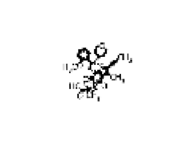 CC#Cc1sc2c(c1C)c(=O)n(OC(C)(C)C(=O)O)c(=O)n2CC(OC1CCOCC1)c1ccccc1OC